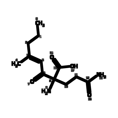 CCCC(C)=CC(=O)C(N)(CCC(N)=O)C(=O)O